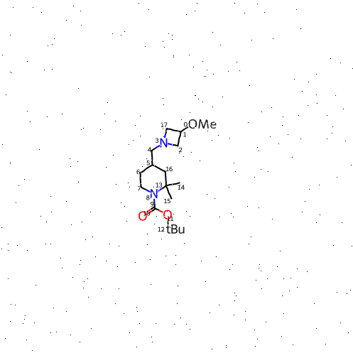 COC1CN(CC2CCN(C(=O)OC(C)(C)C)C(C)(C)C2)C1